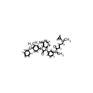 Cc1cc(-n2c(=O)n(-c3cccc(N(C)C(=O)/C=C/CN(C)C4CC4)c3)c3ncnc(N)c32)ccc1Oc1ccccc1